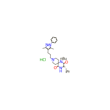 CCCCN1C(=O)[C@H](CC(C)C)NC(=O)C12CCN(CCCc1c(C)nn(-c3ccccc3)c1C)CC2.Cl